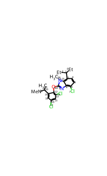 CCC(CC)c1ccc(Cl)c2nc(Oc3c(Cl)cc(Cl)cc3C(C)NC)n(C)c12